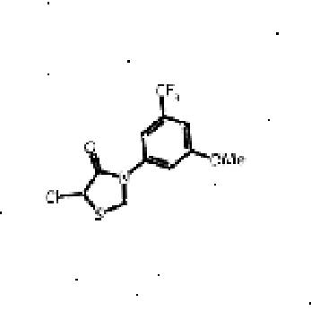 COc1cc(N2CSC(Cl)C2=O)cc(C(F)(F)F)c1